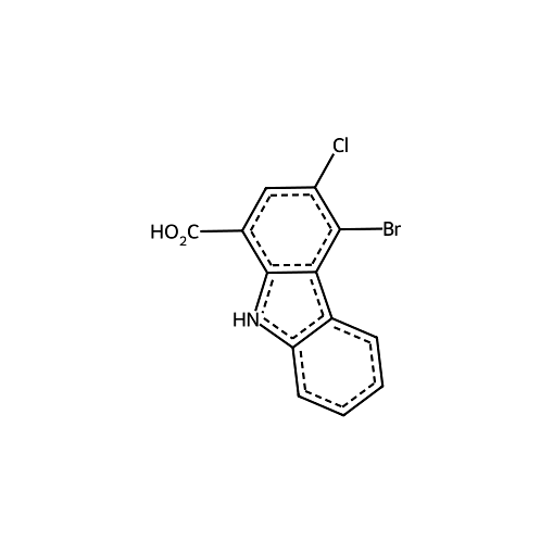 O=C(O)c1cc(Cl)c(Br)c2c1[nH]c1ccccc12